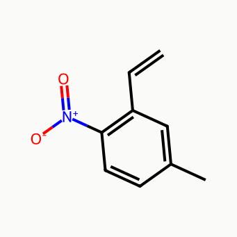 C=Cc1cc(C)ccc1[N+](=O)[O-]